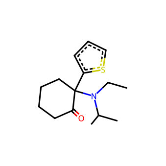 CCN(C(C)C)C1(c2cccs2)CCCCC1=O